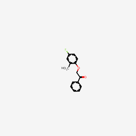 O=C(COc1ccc(F)cc1C(=O)O)c1ccccc1